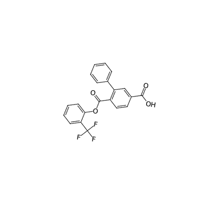 O=C(O)c1ccc(C(=O)Oc2ccccc2C(F)(F)F)c(-c2ccccc2)c1